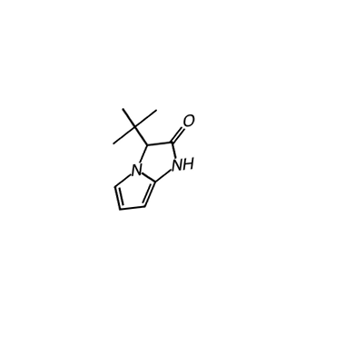 CC(C)(C)C1C(=O)Nc2cccn21